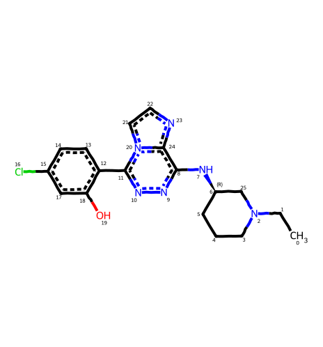 CCN1CCC[C@@H](Nc2nnc(-c3ccc(Cl)cc3O)n3ccnc23)C1